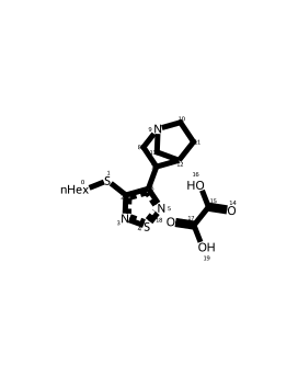 CCCCCCSc1nsnc1C1CN2CCC1C2.O=C(O)C(=O)O